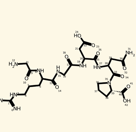 N=C(N)NCCCC(NC(=O)CN)C(=O)NCC(=O)NC(CC(=O)O)C(=O)NC(CC(N)=O)C(=O)N1CCC[C@H]1C(=O)O